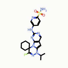 CC(C)N1N=C(F)C2(CCCCC2)n2c1cc1cnc(Nc3ccc(S(N)(=O)=O)nc3)nc12